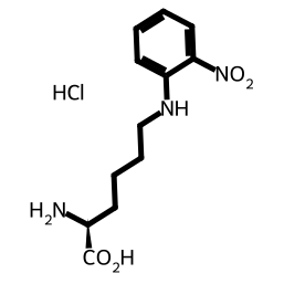 Cl.N[C@@H](CCCCNc1ccccc1[N+](=O)[O-])C(=O)O